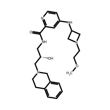 COCCN1CC(Nc2ccnc(C(=O)NC[C@H](O)CN3CCc4ccccc4C3)c2)C1